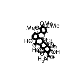 COc1ccc(-c2ccc(O)c3c2C[C@H]2C[C@@H]4C(N(C)C)C(O)=C(C(N)=O)C(=O)[C@@]4(O)C(O)=C2C3=O)c(OC)c1OC